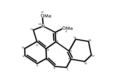 COC1=C2C3=C(CC=C4C=CCC(=C42)CN1OC)CCCC3